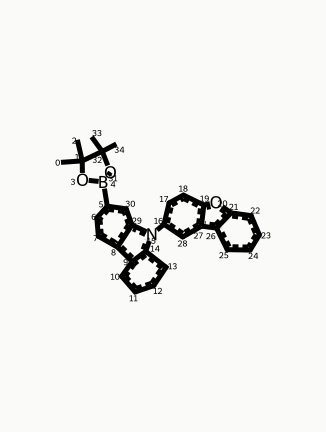 CC1(C)OB(c2ccc3c4ccccc4n(-c4ccc5oc6ccccc6c5c4)c3c2)OC1(C)C